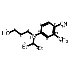 CCC(CC)N(CCCO)c1ccc(C#N)c(C)c1